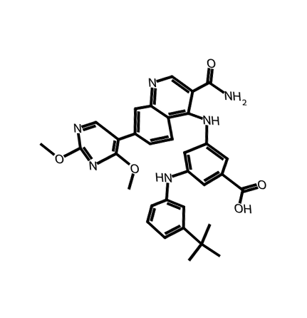 COc1ncc(-c2ccc3c(Nc4cc(Nc5cccc(C(C)(C)C)c5)cc(C(=O)O)c4)c(C(N)=O)cnc3c2)c(OC)n1